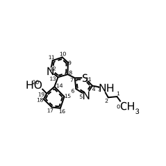 CCCNc1ncc(-c2cccnc2-c2ccccc2O)s1